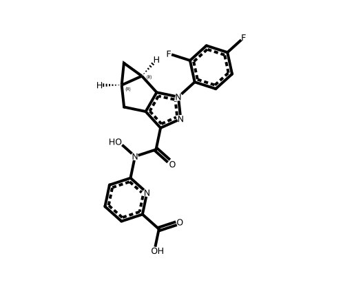 O=C(O)c1cccc(N(O)C(=O)c2nn(-c3ccc(F)cc3F)c3c2C[C@H]2C[C@@H]32)n1